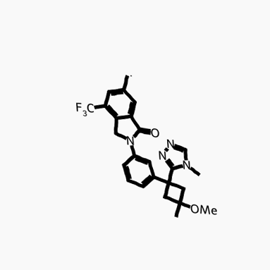 [CH2]c1cc2c(c(C(F)(F)F)c1)CN(c1cccc(C3(c4nncn4C)CC(C)(OC)C3)c1)C2=O